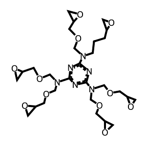 C(CC1CO1)CN(COCC1CO1)c1nc(N(COCC2CO2)COCC2CO2)nc(N(COCC2CO2)COCC2CO2)n1